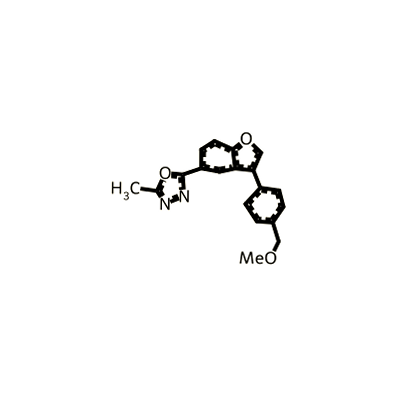 COCc1ccc(-c2coc3ccc(-c4nnc(C)o4)cc23)cc1